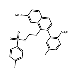 COc1ccc2ccc(-c3cc(C)ccc3S(=O)(=O)O)c(CCOS(=O)(=O)c3ccc(C)cc3)c2c1